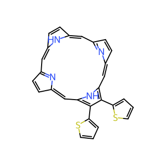 C1=Cc2cc3[nH]c(cc4nc(cc5ccc(cc1n2)[nH]5)C=C4)c(-c1cccs1)c3-c1cccs1